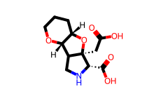 O=C(O)C[C@@]12O[C@H]3CCCO[C@H]3C1CN[C@H]2C(=O)O